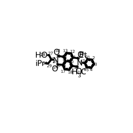 CCc1cccc(C)c1N1C(=O)c2ccc3c4c(ccc(c24)C1=O)C(=O)N(C(CO)CC(C)C)C3=O